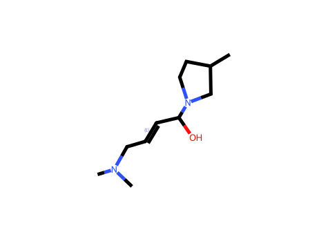 CC1CCN(C(O)/C=C/CN(C)C)C1